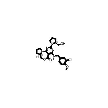 COc1ccc(CNc2nc(N3CCC[C@H]3CO)nc3c2C(=O)OC[C@H]2CCCN32)cc1Cl